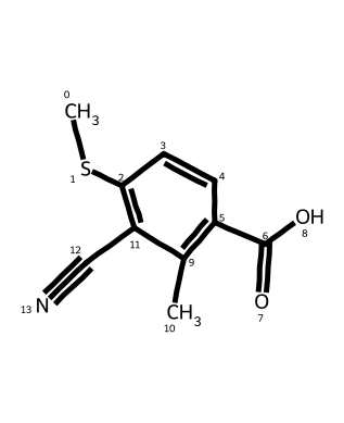 CSc1ccc(C(=O)O)c(C)c1C#N